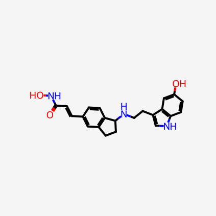 O=C(/C=C/c1ccc2c(c1)CCC2NCCc1c[nH]c2ccc(O)cc12)NO